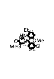 CCc1ccc(OC)cc1Nc1nc(=O)c(OC)cn1Cc1cccc(Cl)c1